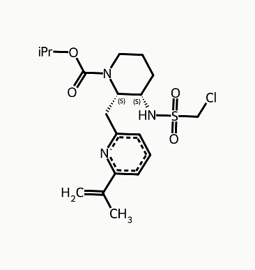 C=C(C)c1cccc(C[C@H]2[C@@H](NS(=O)(=O)CCl)CCCN2C(=O)OC(C)C)n1